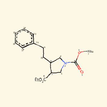 CCOC(=O)C1CN(C(=O)OC(C)(C)C)CC1CCc1ccccc1